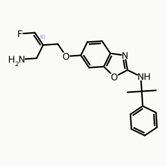 CC(C)(Nc1nc2ccc(OC/C(=C/F)CN)cc2o1)c1ccccc1